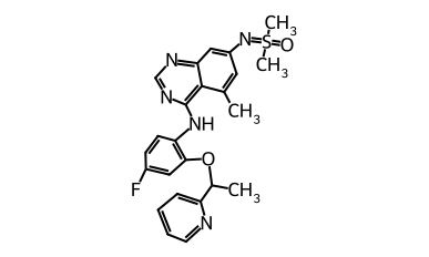 Cc1cc(N=S(C)(C)=O)cc2ncnc(Nc3ccc(F)cc3OC(C)c3ccccn3)c12